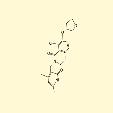 Cc1cc(C)c(CN2CCc3ccc(O[C@@H]4CCOC4)c(Cl)c3C2=O)c(=O)[nH]1